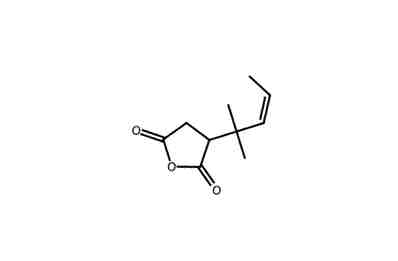 C/C=C\C(C)(C)C1CC(=O)OC1=O